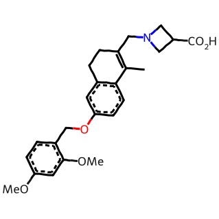 COc1ccc(COc2ccc3c(c2)CCC(CN2CC(C(=O)O)C2)=C3C)c(OC)c1